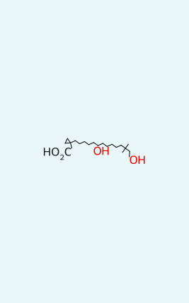 CC(C)(CCO)CCCCCC(O)CCCCCC1(CC(=O)O)CC1